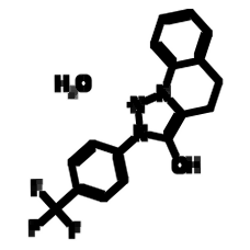 O.OC1=C2CCc3ccccc3N2[N]N1c1ccc(C(F)(F)F)cc1